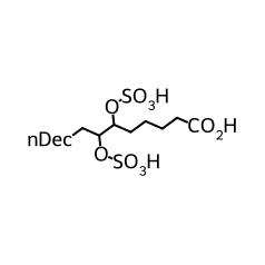 CCCCCCCCCCCC(OS(=O)(=O)O)C(CCCCC(=O)O)OS(=O)(=O)O